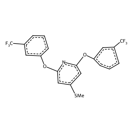 CSc1cc(Oc2cccc(C(F)(F)F)c2)nc(Oc2cccc(C(F)(F)F)c2)c1